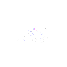 Cl.Cl.Cn1cc(Nc2nc(N)nc(-c3cccc(-n4ccc5cc(C6CC6)cc(F)c5c4=O)c3COC(=O)[C@@H](N)CC#N)n2)cn1